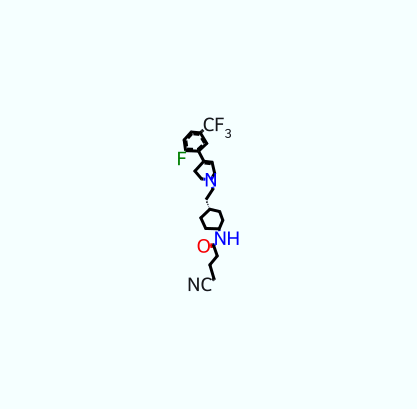 N#CCCCC(=O)N[C@H]1CC[C@H](CCN2CC=C(c3cc(C(F)(F)F)ccc3F)CC2)CC1